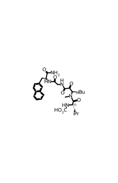 CC[C@H](C)C(C(=O)C(=O)NCC(=O)N[C@@H](Cc1ccc2ccccc2c1)C(N)=O)N(C)C(=O)[C@H](CC(C)C)NC(=O)O